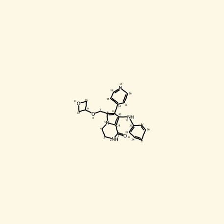 O=C1NCCn2c(COC3COC3)c(-c3ccncc3)c(Nc3ccccc3)c21